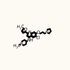 Cc1ccc(-c2cc(NC3CCN(C)CC3)c3cc(Cl)c(OCCCN4CCCC4)cc3n2)o1